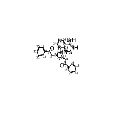 Br.O=C(Cn1cc[n+](CC(=O)c2ccccc2)c1)c1ccccc1.c1ncc2c(n1)NCNC2